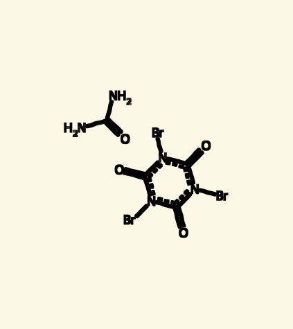 NC(N)=O.O=c1n(Br)c(=O)n(Br)c(=O)n1Br